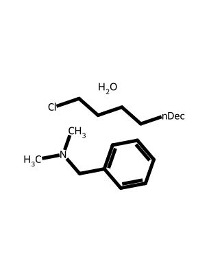 CCCCCCCCCCCCCCCl.CN(C)Cc1ccccc1.O